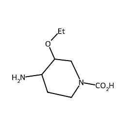 CCOC1CN(C(=O)O)CCC1N